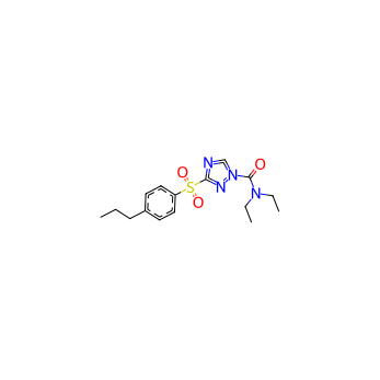 CCCc1ccc(S(=O)(=O)c2ncn(C(=O)N(CC)CC)n2)cc1